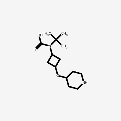 CC(C)(C)N(C(=O)O)C1CC(OC2CCNCC2)C1